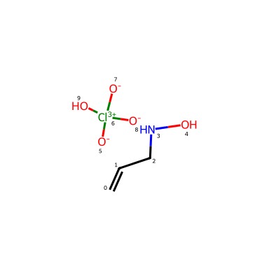 C=CCNO.[O-][Cl+3]([O-])([O-])O